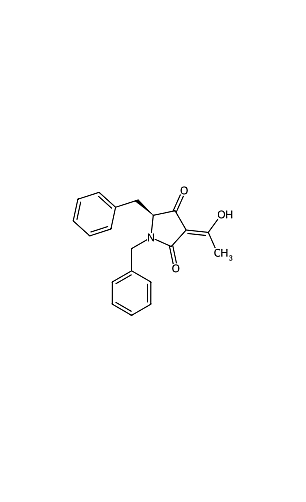 CC(O)=C1C(=O)[C@H](Cc2ccccc2)N(Cc2ccccc2)C1=O